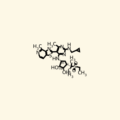 CCS(=O)(=O)C(C)(C)[C@H]1C[C@@H](Nc2nc(NCC3CC3)nc(C)c2-c2nc3c(C)nccc3s2)[C@H](O)[C@@H]1O